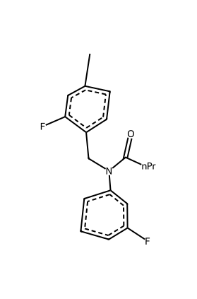 CCCC(=O)N(Cc1ccc(C)cc1F)c1cccc(F)c1